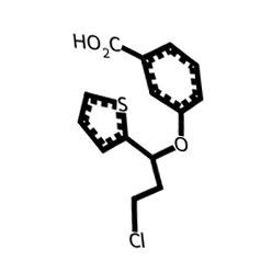 O=C(O)c1cccc(OC(CCCl)c2cccs2)c1